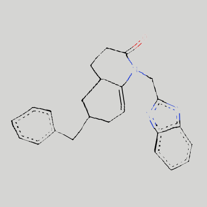 O=C1CCC2CC(Cc3ccccc3)CC=C2N1Cc1nc2ccccc2[nH]1